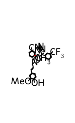 COc1cc(C=CCN2CCN(C(c3cccc(C(F)(F)F)c3)c3nnnn3-c3c(C)cccc3C)CC2)ccc1O